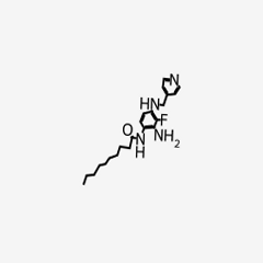 CCCCCCCCCC(=O)Nc1ccc(NCc2ccncc2)c(F)c1N